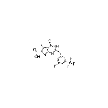 Cc1c(C(=O)O)sc2nc(Cc3cc(F)cc(C(F)(F)F)c3)[nH]c(=O)c12